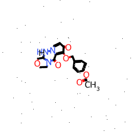 CC(=O)Oc1ccc(COc2c3n(ccc2=O)N[C@@H]2COCCN2C3=O)cc1